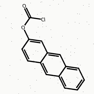 O=C(Cl)Oc1ccc2cc3ccccc3cc2c1